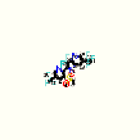 CCS(=O)(=O)c1cc(C(F)(F)F)cnc1C1=Nc2cc(C(F)(F)F)cnc2C1(F)F